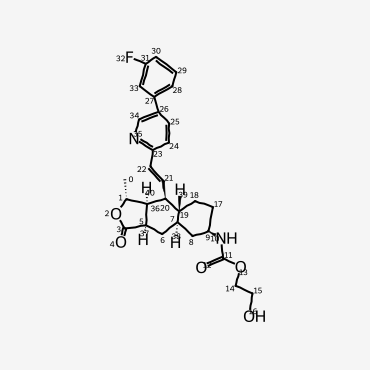 C[C@H]1OC(=O)[C@@H]2C[C@@H]3C[C@H](NC(=O)OCCO)CC[C@H]3[C@H](/C=C/c3ccc(-c4cccc(F)c4)cn3)[C@H]12